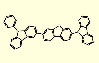 c1ccc(-n2c3ccccc3c3cc(-c4ccc5c(c4)sc4cc(-n6c7ccccc7c7cccnc76)ccc45)ccc32)cc1